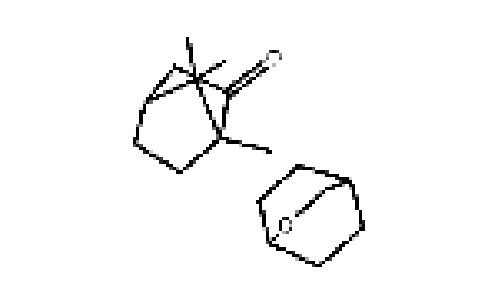 C1CC2CCC1CO2.CC12CCC(CC1=O)C2(C)C